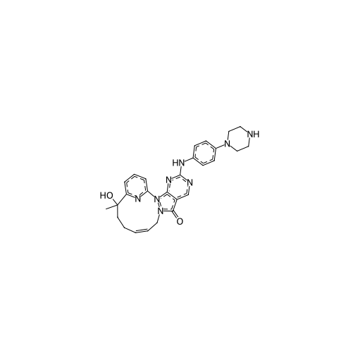 CC1(O)CCC=CCn2c(=O)c3cnc(Nc4ccc(N5CCNCC5)cc4)nc3n2-c2cccc1n2